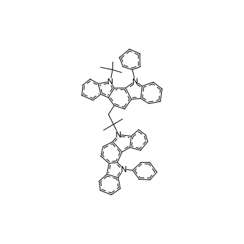 CC(C)(C)n1c2ccccc2c2c(CC(C)(C)n3c4ccccc4c4c5c(ccc43)c3ccccc3n5-c3ccccc3)cc3c4ccccc4n(-c4ccccc4)c3c21